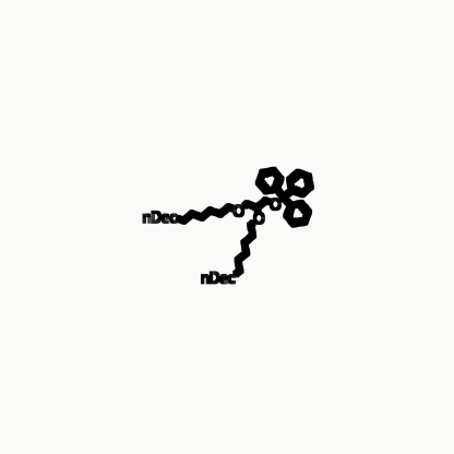 CCCCCCCCCCCCCCCCOCC(COC(c1ccccc1)(c1ccccc1)c1ccccc1)OCCCCCCCCCCCCCCCC